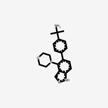 CC(C)(N)c1ccc(-c2ccc3[nH]ncc3c2N2CCOCC2)cc1